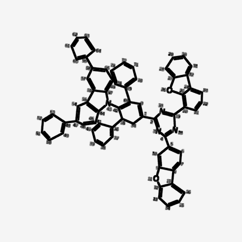 C1=C(c2nc(-c3ccc4c(c3)oc3ccccc34)nc(-c3cccc4c3oc3ccccc34)n2)CC(c2ccccc2)C(n2c3ccc(-c4ccccc4)cc3c3cc(-c4ccccc4)ccc32)=C1c1ccccc1